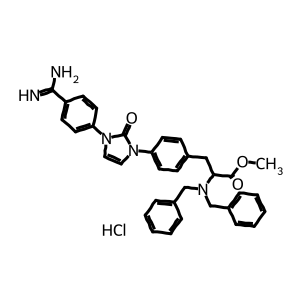 COC(=O)C(Cc1ccc(-n2ccn(-c3ccc(C(=N)N)cc3)c2=O)cc1)N(Cc1ccccc1)Cc1ccccc1.Cl